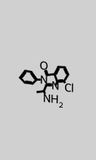 CC(N)c1nc2c(Cl)cccc2c(=O)n1-c1ccccc1